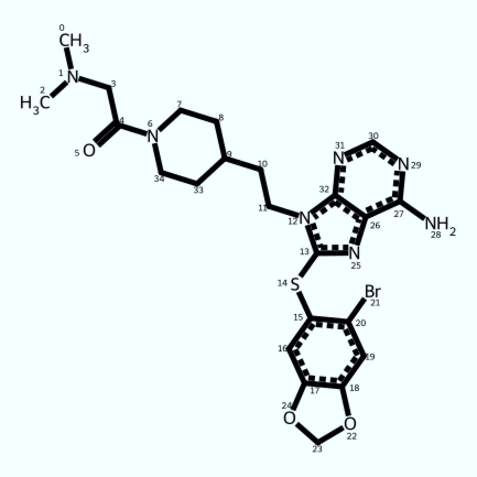 CN(C)CC(=O)N1CCC(CCn2c(Sc3cc4c(cc3Br)OCO4)nc3c(N)ncnc32)CC1